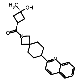 C[C@]1(O)C[C@@H](C(=O)N2CC3(CCC(c4ccc5ccccc5n4)CC3)C2)C1